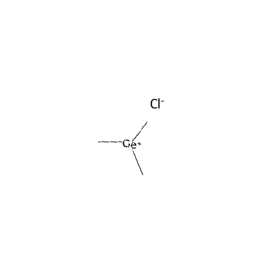 [CH3][Ge+]([CH3])[CH3].[Cl-]